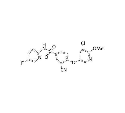 COc1ncc(Oc2ccc(S(=O)(=O)Nc3ccc(F)cn3)cc2C#N)cc1Cl